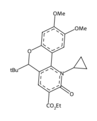 CCOC(=O)c1cc2c(n(C3CC3)c1=O)-c1cc(OC)c(OC)cc1OC2C(C)(C)C